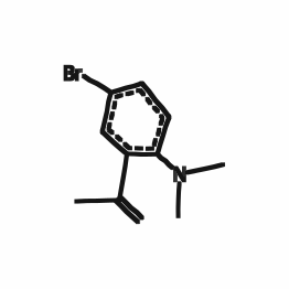 C=C(C)c1cc(Br)ccc1N(C)C